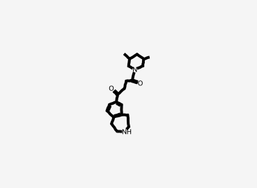 CC1CC(C)CN(C(=O)CCC(=O)c2ccc3c(c2)CCNCC3)C1